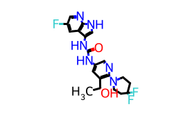 CC(O)c1cc(NC(=O)Nc2c[nH]c3ncc(F)cc23)cnc1N1CCC(F)(F)CC1